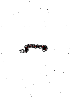 CC(C)(C)CN1CCN(C(=O)CCC(C)(C)SCCOCCOCCOCCOCCOCCOCCC(=O)ON2C(=O)CCC2=O)CC1